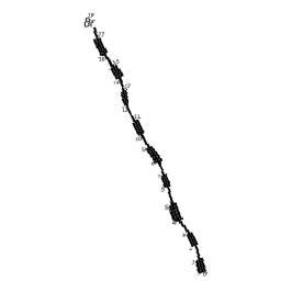 C#CC#CC#CC#CC#CC#CC#CC#CC#CBr